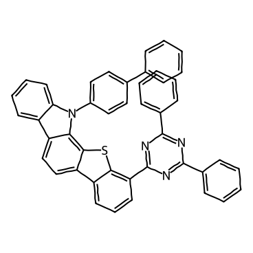 c1ccc(-c2ccc(-n3c4ccccc4c4ccc5c6cccc(-c7nc(-c8ccccc8)nc(-c8ccccc8)n7)c6sc5c43)cc2)cc1